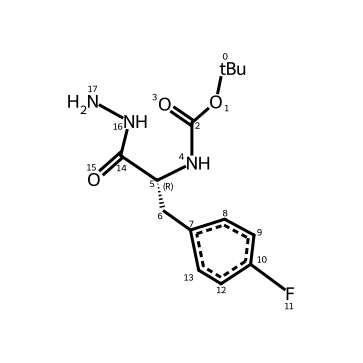 CC(C)(C)OC(=O)N[C@H](Cc1ccc(F)cc1)C(=O)NN